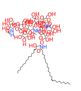 CCCCCCCC/C=C\CCCCCCCCCCCCCC(=O)N[C@@H](CO[C@@H]1OC(CO)[C@@H](O[C@@H]2OC(CO)[C@H](O)[C@H](O[C@@H]3OC(CO)[C@@H](O[C@@H]4OC(CO)[C@H](O)[C@H](O[C@@H]5OC(CO)[C@@H](O[C@@H]6OC(CO)[C@H](O)[C@H](O[C@@H]7OC(CO)[C@@H](O)[C@H](O)C7NC(C)=O)C6O)[C@H](O[C@H]6OC(C)[C@@H](O)C(O)[C@@H]6O)C5NC(C)=O)C4O)[C@H](O)C3NC(C)=O)C2O)[C@H](O)C1O)[C@H](O)/C=C/CCCCCCCCCCCCC